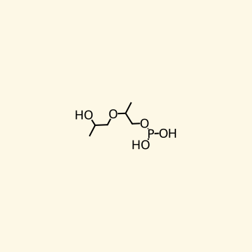 CC(O)COC(C)COP(O)O